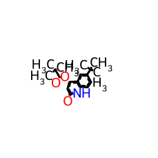 CC(C)(C)C(=O)Oc1cc(=O)[nH]c2ccc(C(C)(C)C)cc12